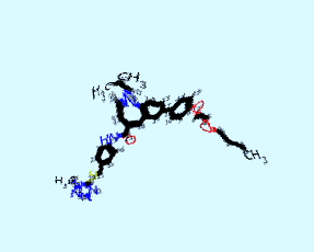 CCCCOCCOc1ccc(-c2ccc3c(c2)C=C(C(=O)Nc2ccc(CSc4nnnn4C)cc2)CCN3CC(C)C)cc1